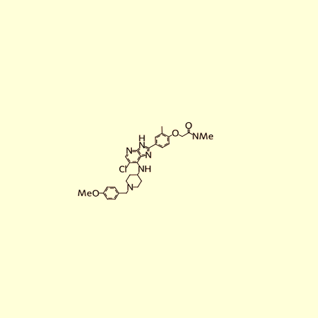 CNC(=O)COc1ccc(-c2nc3c(NC4CCN(Cc5ccc(OC)cc5)CC4)c(Cl)cnc3[nH]2)cc1C